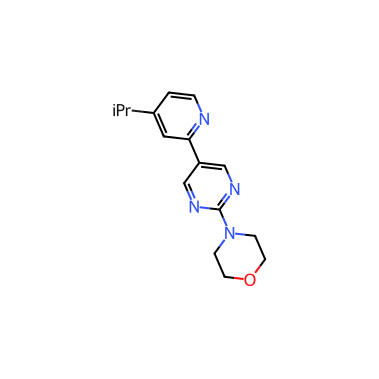 CC(C)c1ccnc(-c2cnc(N3CCOCC3)nc2)c1